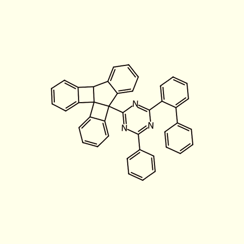 c1ccc(-c2nc(-c3ccccc3-c3ccccc3)nc(C34c5ccccc5C5c6ccccc6C53c3ccccc34)n2)cc1